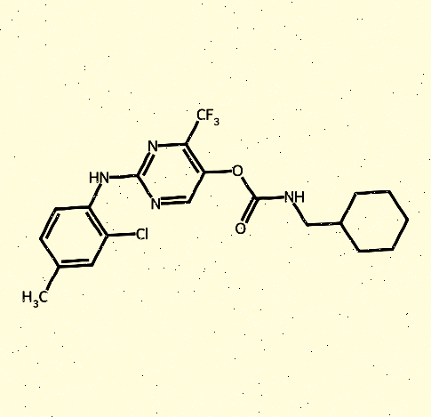 Cc1ccc(Nc2ncc(OC(=O)NCC3CCCCC3)c(C(F)(F)F)n2)c(Cl)c1